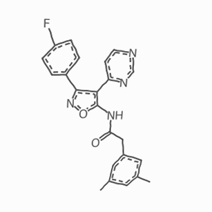 Cc1cc(C)cc(CC(=O)Nc2onc(-c3ccc(F)cc3)c2-c2ccncn2)c1